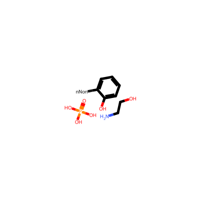 CCCCCCCCCc1ccccc1O.NCCO.O=P(O)(O)O